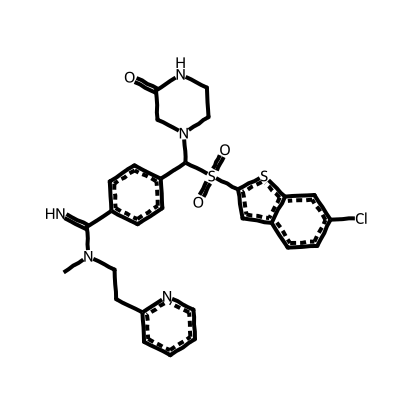 CN(CCc1ccccn1)C(=N)c1ccc(C(N2CCNC(=O)C2)S(=O)(=O)c2cc3ccc(Cl)cc3s2)cc1